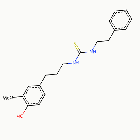 COc1cc(CCCNC(=S)NCCc2ccccc2)ccc1O